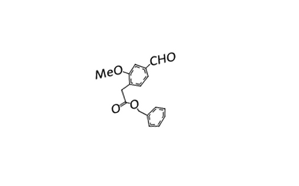 COc1cc(C=O)ccc1CC(=O)OCc1ccccc1